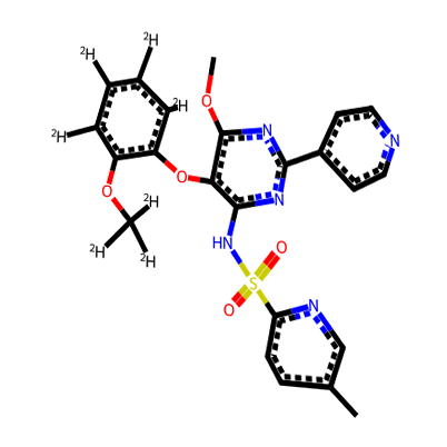 [2H]c1c([2H])c([2H])c(OC([2H])([2H])[2H])c(Oc2c(NS(=O)(=O)c3ccc(C)cn3)nc(-c3ccncc3)nc2OC)c1[2H]